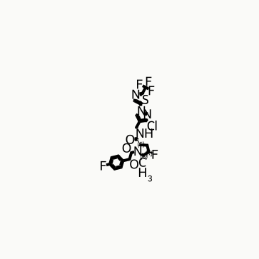 C[C@H]1[C@H](F)C[C@@H](C(=O)NCc2cn(-c3cnc(C(F)(F)F)s3)nc2Cl)N1C(=O)C(=O)c1ccc(F)cc1